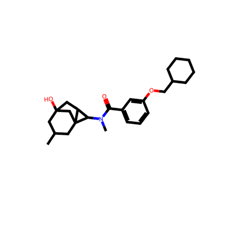 CC1CC2(O)CC3C(N(C)C(=O)c4cccc(OCC5CCCCC5)c4)C3(C1)C2